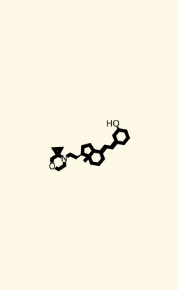 CC12CCC/C(=C\C=C3\CCC[C@H](O)C3)C1CC[C@@H]2CCN1CCOCC12CC2